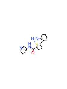 Nc1ccccc1-c1ccc(C(=O)NC2CN3CCC2CC3)s1